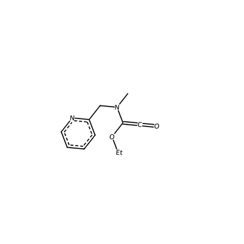 CCOC(=C=O)N(C)Cc1ccccn1